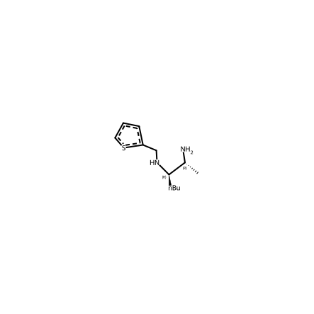 CCCC[C@@H](NCc1cccs1)[C@@H](C)N